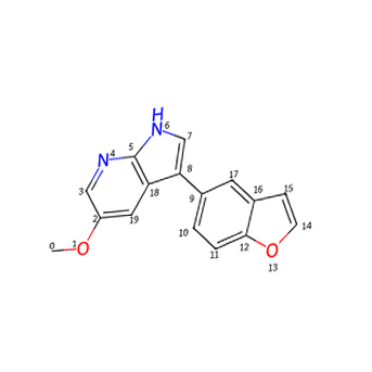 COc1cnc2[nH]cc(-c3ccc4occc4c3)c2c1